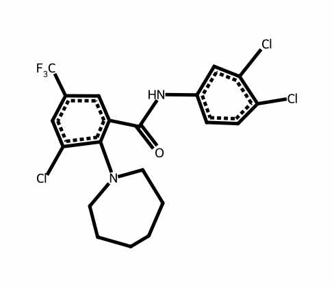 O=C(Nc1ccc(Cl)c(Cl)c1)c1cc(C(F)(F)F)cc(Cl)c1N1CCCCCC1